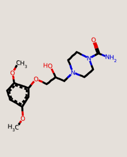 COc1ccc(OC)c(OCC(O)CN2CCN(C(N)=O)CC2)c1